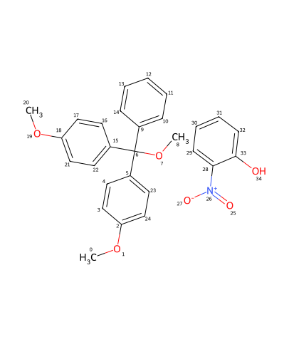 COc1ccc(C(OC)(c2ccccc2)c2ccc(OC)cc2)cc1.O=[N+]([O-])c1ccccc1O